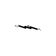 CCCCCCCCCc1ccc(N=CC=Nc2ccc(CCCCCCCCC)cc2)cc1.[Ni]